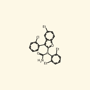 CCc1ccc2oc(N(C(N)=O)c3c(CC)cccc3CC)c(-c3ccccc3Cl)c2c1